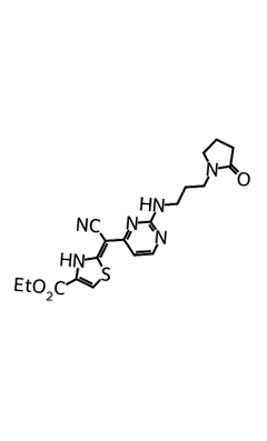 CCOC(=O)C1=CS/C(=C(/C#N)c2ccnc(NCCCN3CCCC3=O)n2)N1